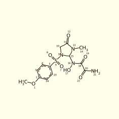 COc1ccc(S(=O)(=O)N2CC(=O)N(C)C2N(O)C(=O)C(N)=O)cc1